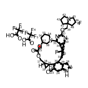 O=C(O)C(F)(F)F.O=C(O)C(F)(F)F.O=C1OC[C@H]2C[C@H]2c2c(Cl)cc3[nH]ncc3c2-c2ncc3c(nc(OC[C@@]45CCCN4C[C@H](F)C5)nc3c2F)N2CCC[C@H](C2)O1